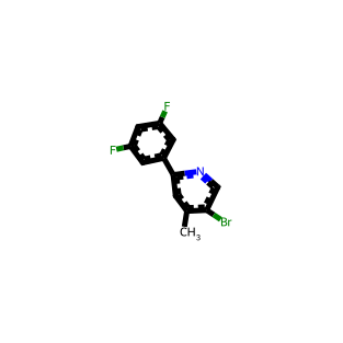 Cc1cc(-c2cc(F)cc(F)c2)ncc1Br